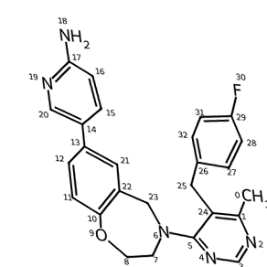 Cc1ncnc(N2CCOc3ccc(-c4ccc(N)nc4)cc3C2)c1Cc1ccc(F)cc1